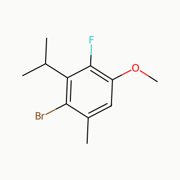 COc1cc(C)c(Br)c(C(C)C)c1F